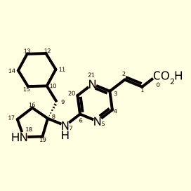 O=C(O)/C=C/c1cnc(N[C@]2(CC3CCCCC3)CCNC2)cn1